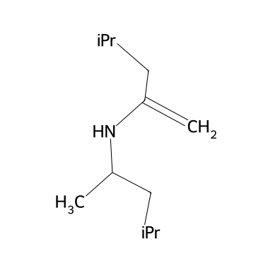 C=C(CC(C)C)NC(C)CC(C)C